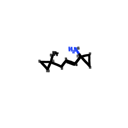 CC(C)C1(CC=CC2(N)CC2)CC1